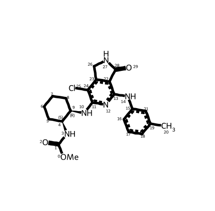 COC(=O)N[C@H]1CCCC[C@H]1Nc1nc(Nc2cccc(C)c2)c2c(c1Cl)CNC2=O